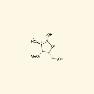 CO[C@H]1[C@@H](CO)OC(O)[C@@H]1O